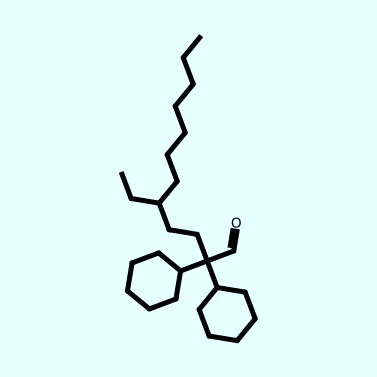 CCCCCCCC(CC)CCC(C=O)(C1CCCCC1)C1CCCCC1